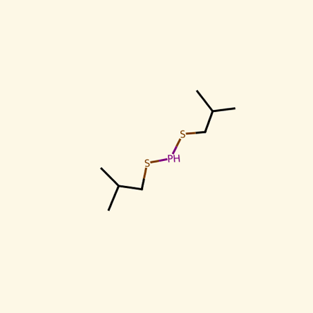 CC(C)CSPSCC(C)C